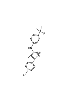 FC(F)(F)c1ccc(Nc2[nH]nc3c2Cc2cc(Cl)ccc2-3)cc1